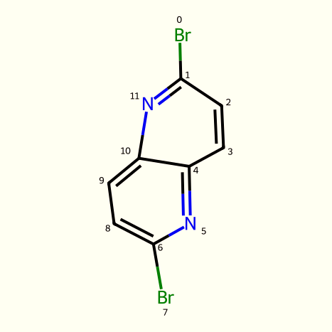 Brc1ccc2nc(Br)ccc2n1